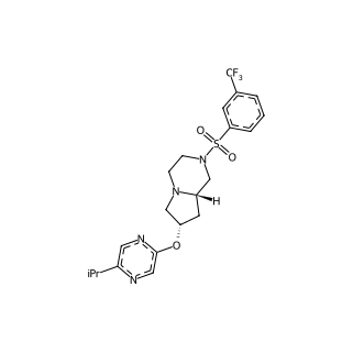 CC(C)c1cnc(O[C@H]2C[C@H]3CN(S(=O)(=O)c4cccc(C(F)(F)F)c4)CCN3C2)cn1